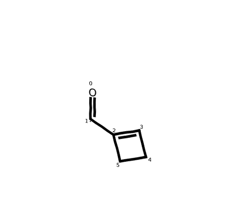 O=[C]C1=CCC1